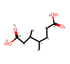 CC(CCC(=O)O)C(C)CC(=O)O